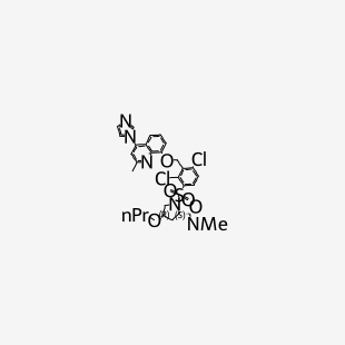 CCCO[C@@H]1C[C@@H](C(=O)NC)N(S(=O)(=O)c2ccc(Cl)c(COc3cccc4c(-n5ccnc5)cc(C)nc34)c2Cl)C1